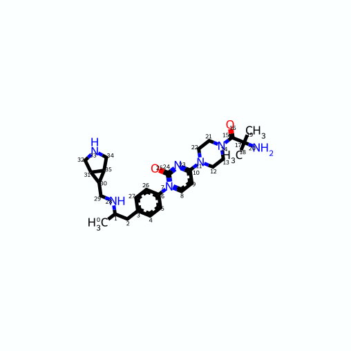 CC(Cc1ccc(-n2ccc(N3CCN(C(=O)C(C)(C)N)CC3)nc2=O)cc1)NCC1C2CNCC21